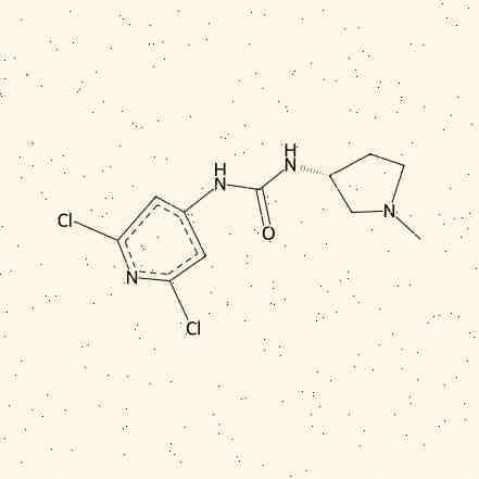 CN1CC[C@@H](NC(=O)Nc2cc(Cl)nc(Cl)c2)C1